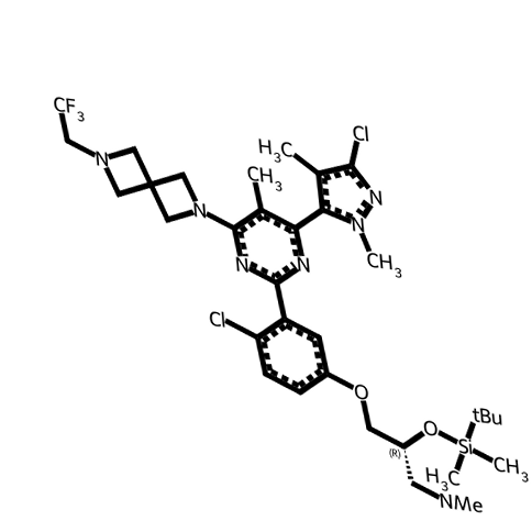 CNC[C@H](COc1ccc(Cl)c(-c2nc(-c3c(C)c(Cl)nn3C)c(C)c(N3CC4(CN(CC(F)(F)F)C4)C3)n2)c1)O[Si](C)(C)C(C)(C)C